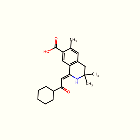 Cc1cc2c(cc1C(=O)O)C(=CC(=O)C1CCCCC1)NC(C)(C)C2